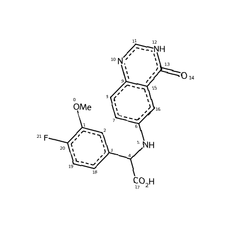 COc1cc(C(Nc2ccc3nc[nH]c(=O)c3c2)C(=O)O)ccc1F